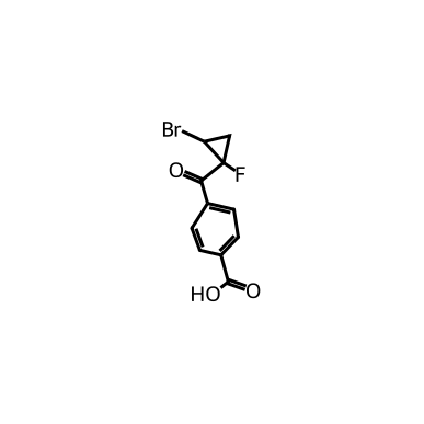 O=C(O)c1ccc(C(=O)C2(F)CC2Br)cc1